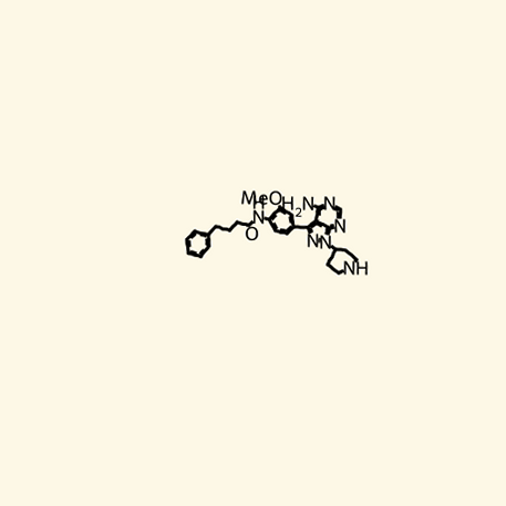 COc1cc(-c2nn(C3CCNCC3)c3ncnc(N)c23)ccc1NC(=O)CCCc1ccccc1